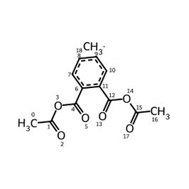 CC(=O)OC(=O)c1ccccc1C(=O)OC(C)=O.[CH3]